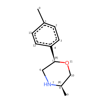 Cc1ccc([C@@H]2CN[C@H](C)CO2)cc1